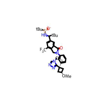 CO[C@H]1C[C@](c2cccc(N3Cc4c(cc(C(N[S+]([O-])C(C)(C)C)C(C)(C)C)cc4C(F)(F)F)C3=O)c2)(c2nncn2C)C1